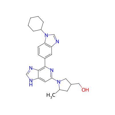 CC1CC(CO)CN1c1cc2[nH]cnc2c(-c2ccc3c(c2)ncn3C2CCCCC2)n1